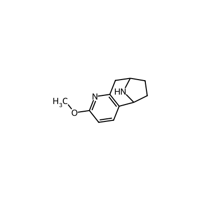 COc1ccc2c(n1)CC1CCC2N1